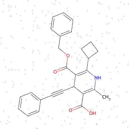 CC1=C(C(=O)O)C(C#Cc2ccccc2)C(C(=O)OCc2ccccc2)=C(C2CCC2)N1